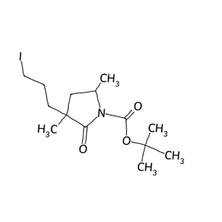 CC1CC(C)(CCCI)C(=O)N1C(=O)OC(C)(C)C